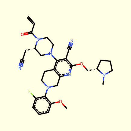 C=CC(=O)N1CCN(c2c(C#N)c(OC[C@@H]3CCCN3C)nc3c2CCN(c2c(F)cccc2OC)C3)C[C@@H]1CC#N